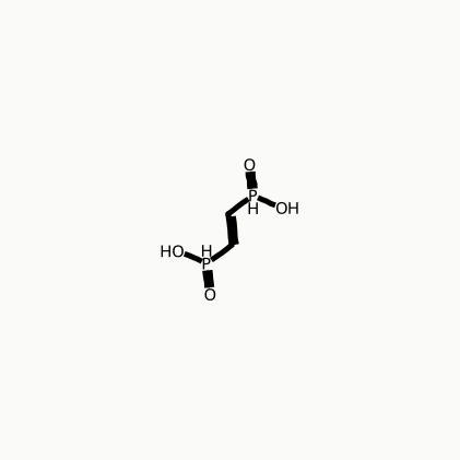 O=[PH](O)C=C[PH](=O)O